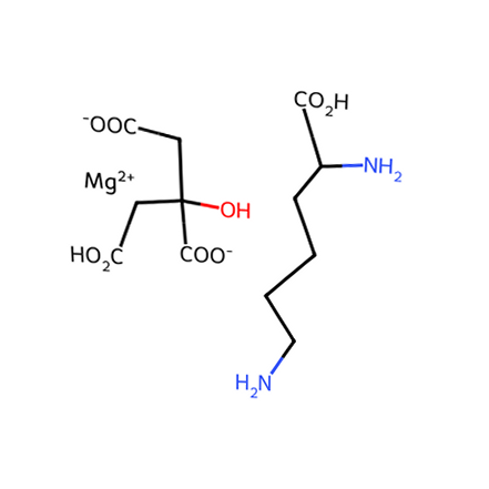 NCCCCC(N)C(=O)O.O=C([O-])CC(O)(CC(=O)O)C(=O)[O-].[Mg+2]